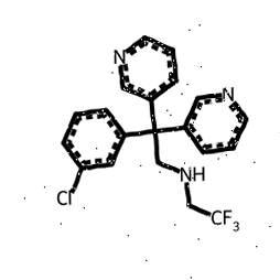 FC(F)(F)CNCC(c1cccnc1)(c1cccnc1)c1cccc(Cl)c1